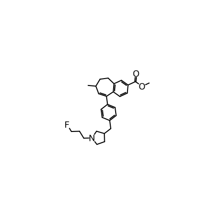 COC(=O)c1ccc2c(c1)CCC(C)C=C2c1ccc(CC2CCN(CCCF)C2)cc1